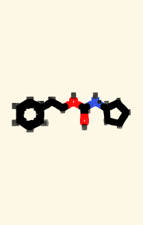 O=C([N]C1CCCC1)OCCc1ccccc1